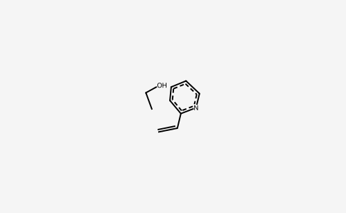 C=Cc1ccccn1.CCO